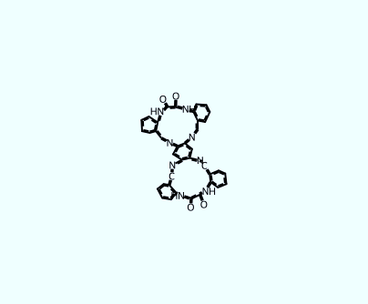 O=c1[nH]c2ccccc2cnc2cc3ncc4ccccc4[nH]c(=O)c(=O)[nH]c4ccccc4cnc3cc2ncc2ccccc2[nH]c1=O